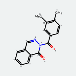 COc1ccc(C(=O)n2ncc3ccccc3c2=O)cc1OC